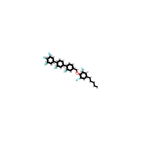 CCCCCc1cc(F)c(OCc2ccc(-c3ccc(-c4cc(F)c(F)c(F)c4)c(F)c3)c(F)c2)c(F)c1